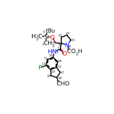 CC(C)(C)[Si](C)(C)OCC1(C(=O)Nc2cc(F)c3c(c2)CC(C=O)C3)CCCN1C(=O)O